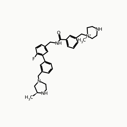 C[C@H]1CN(Cc2cccc(-c3cc(CNC(=O)c4cccc(C[N+]5(C)CCNCC5)c4)ccc3F)c2)CCN1